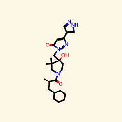 C[C@H](CC1CCCCC1)C(=O)N1CCC(O)(Cn2cnc(-c3cn[nH]c3)cc2=O)C(C)(C)C1